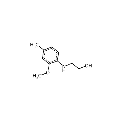 COc1cc(C)[c]cc1NCCO